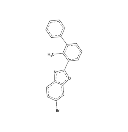 Cc1c(-c2ccccc2)cccc1-c1nc2ccc(Br)cc2o1